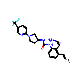 C=Cc1cccc(NC(=O)NC2CCN(c3ccc(C(F)(F)F)cn3)C2)c1/C=C\N